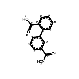 NC(=O)c1cccc(-c2ccccc2C(=O)O)c1